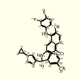 [2H][C@](Nc1cc(Cl)c2ncc(C#N)c(Nc3cnc(F)c(F)c3)c2c1)(c1cncc(C#N)c1)c1cn(C2CC2)nn1